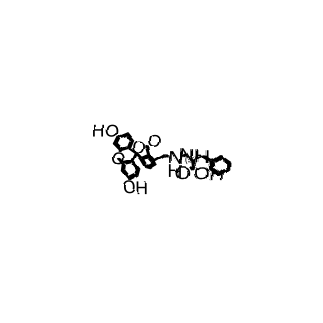 O=C1OC2(c3ccc(O)cc3Oc3cc(O)ccc32)c2cccc(CNN[C@@H](Cc3ccccc3)C(=O)O)c21